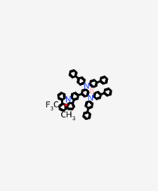 Cc1ccc(-c2ccccc2-n2c3ccccc3c3cc(-c4cc5c6c(c4)N(c4ccc(-c7ccccc7)cc4)c4ccc(-c7ccccc7)cc4B6c4cc(-c6ccccc6)ccc4N5c4ccc(-c5ccccc5)cc4)ccc32)c(C(F)(F)F)c1